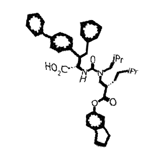 CC(C)CC[C@@H](CN(CC(C)C)C(=O)N[C@H](C(=O)O)C(Cc1ccccc1)c1ccc(-c2ccccc2)cc1)C(=O)Oc1ccc2c(c1)CCC2